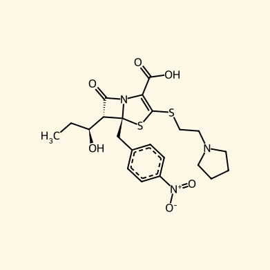 CC[C@H](O)[C@@H]1C(=O)N2C(C(=O)O)=C(SCCN3CCCC3)S[C@]12Cc1ccc([N+](=O)[O-])cc1